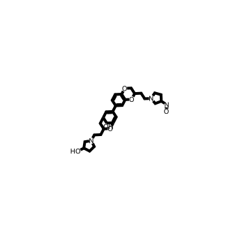 O=NC1CCN(CCC2COc3ccc(C4=CC5CC(CCN6CCC(O)C6)OC(=C4)C5O)cc3O2)C1